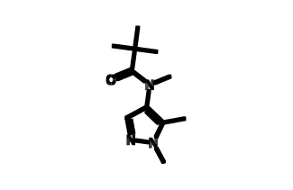 Cc1c(N(C)C(=O)C(C)(C)C)cnn1C